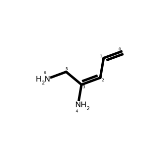 C=C/C=C(/N)CN